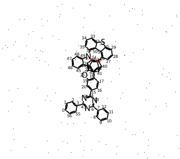 c1ccc(-c2nc(-c3ccccc3)nc(-c3ccc4c(c3)oc3ccc(-c5cccc6sc7cccc(-n8c9ccccc9c9ccccc98)c7c56)cc34)n2)cc1